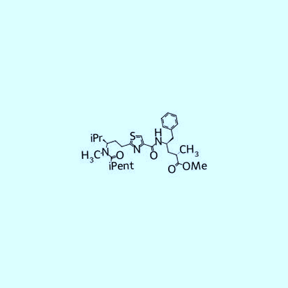 CCC[C@H](C)C(=O)N(C)[C@H](CCc1nc(C(=O)N[C@@H](Cc2ccccc2)C[C@H](C)C(=O)OC)cs1)C(C)C